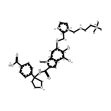 Cn1c(C(=O)NC2(c3ccc(C(=O)O)cc3)CCOC2)cc2c(Cl)c(Cl)c(OCc3nccn3COCC[Si](C)(C)C)cc21